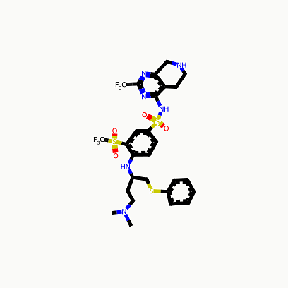 CN(C)CCC(CSc1ccccc1)Nc1ccc(S(=O)(=O)Nc2nc(C(F)(F)F)nc3c2CCNC3)cc1S(=O)(=O)C(F)(F)F